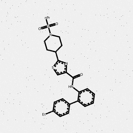 CCCS(=O)(=O)N1CCC(c2nc(C(=O)Nc3ccccc3-c3ccc(CC)cc3)cs2)CC1